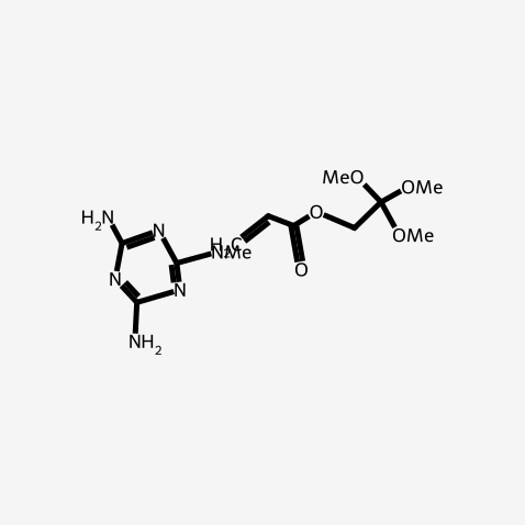 C=CC(=O)OCC(OC)(OC)OC.CNc1nc(N)nc(N)n1